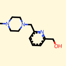 CN1CCN(Cc2cccc(CO)n2)CC1